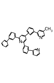 Cc1cncc(-c2cccc(-c3cc(-c4cccc(-c5ccccc5)c4)nc(-c4cccc(-c5cccnc5)c4)c3)c2)c1